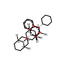 CC(=O)c1nc2ccccc2n([C@H]2C[C@H]3CCC[C@@H](C2)N3[C@@H]2C[C@@H]3C[C@@H](C[C@H](C4CCCCC4)C3)C2)c1=O